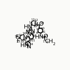 C=CC(=O)Nc1ccc(C(=O)N2CCCC(Nc3nc4ccc(-c5cn[nH]c5)c(N5CCC(F)(F)CC5)n4n3)C2)cc1